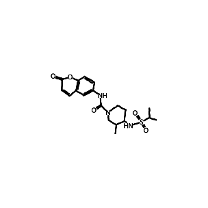 CC1CN(C(=O)Nc2ccc3oc(=O)ccc3c2)CCC1NS(=O)(=O)C(C)C